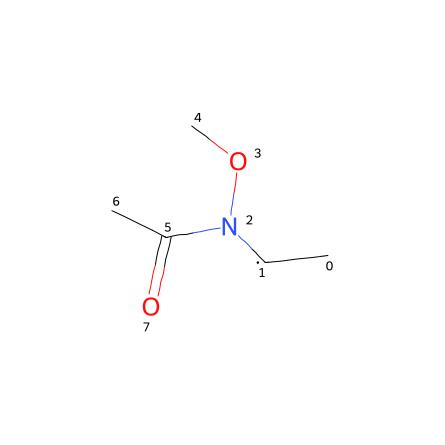 C[CH]N(OC)C(C)=O